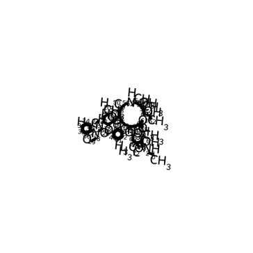 CCCNC[C@]1(O)[C@H](C)O[C@@H](O[C@H]2[C@H](C)[C@@H](O[C@@H]3O[C@H](C)C[C@H](N(C)C(=O)N4CCOc5ccccc54)[C@H]3Oc3ccccc3)[C@](C)(O)C[C@@H](C)CN[C@H](C)[C@@H](O)[C@](C)(O)[C@@H](CC)OC(=O)[C@@H]2C)C[C@@]1(C)OC